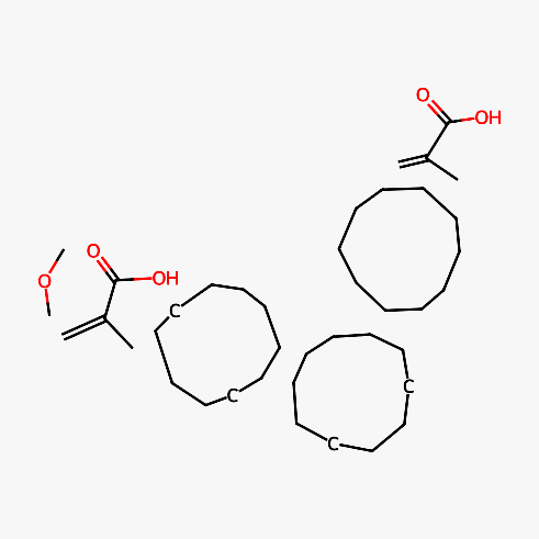 C1CCCCCCCCC1.C1CCCCCCCCC1.C1CCCCCCCCC1.C=C(C)C(=O)O.C=C(C)C(=O)O.COC